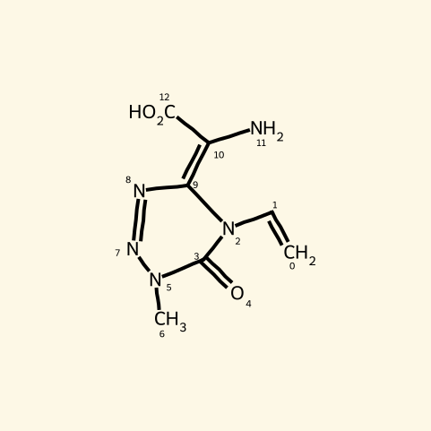 C=CN1C(=O)N(C)N=N/C1=C(/N)C(=O)O